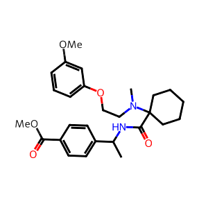 COC(=O)c1ccc(C(C)NC(=O)C2(N(C)CCOc3cccc(OC)c3)CCCCC2)cc1